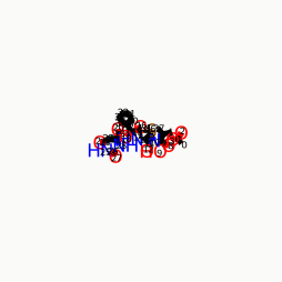 CC(=O)OCC1=C(C(=O)O)N2C(=O)[C@H](NC(=O)C(OC(=O)c3cc(=O)[nH]c(=O)[nH]3)c3ccccc3)[C@H]2SC1